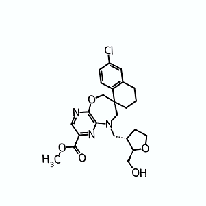 COC(=O)c1cnc2c(n1)N(C[C@@H]1CCO[C@H]1CO)C[C@@]1(CCCc3cc(Cl)ccc31)CO2